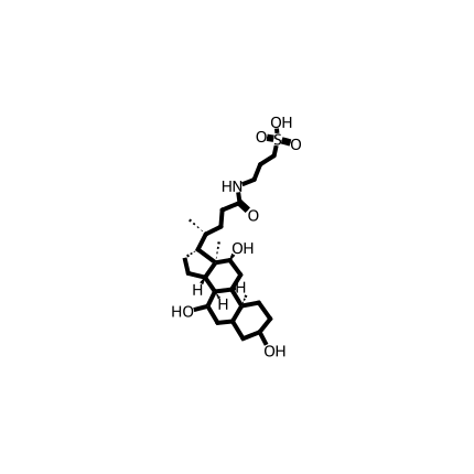 C[C@H](CCC(=O)NCCCS(=O)(=O)O)[C@H]1CC[C@H]2[C@@H]3C(O)CC4CC(O)CC[C@]4(C)[C@H]3C[C@H](O)[C@]12C